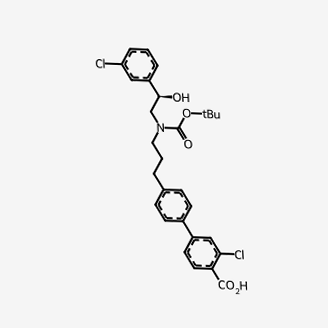 CC(C)(C)OC(=O)N(CCCc1ccc(-c2ccc(C(=O)O)c(Cl)c2)cc1)C[C@H](O)c1cccc(Cl)c1